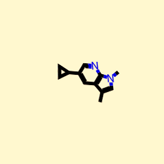 Cc1cn(C)c2ncc(C3CC3)cc12